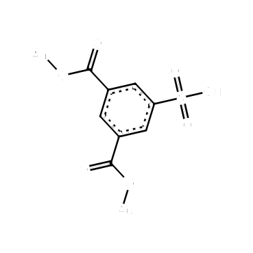 O=C([O][Au])c1cc(C(=O)[O][Au])cc(S(=O)(=O)O)c1